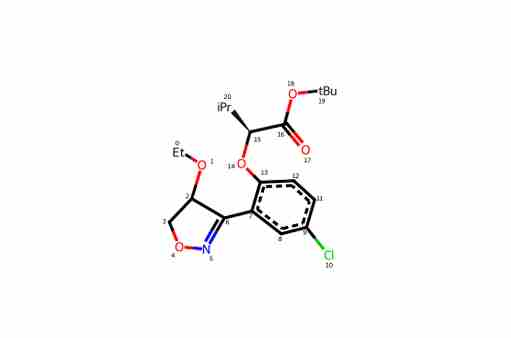 CCOC1CON=C1c1cc(Cl)ccc1O[C@H](C(=O)OC(C)(C)C)C(C)C